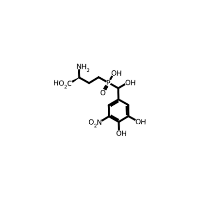 N[C@@H](CCP(=O)(O)C(O)c1cc(O)c(O)c([N+](=O)[O-])c1)C(=O)O